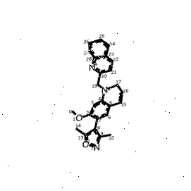 COc1cc2c(cc1-c1c(C)noc1C)C=CCN2Cc1ccc2ccccc2n1